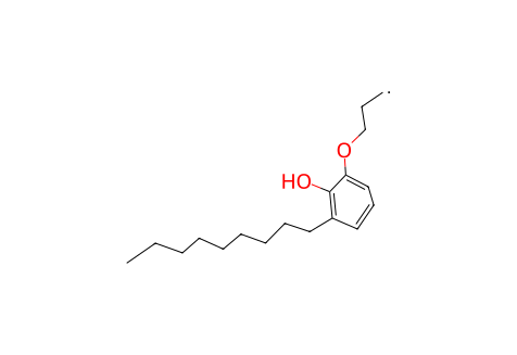 [CH2]CCOc1cccc(CCCCCCCCC)c1O